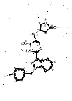 CC(C)(C)[C@H](NC(=O)c1nn(Cc2ccc(F)cc2)c2ccccc12)C(=O)N[C@@H]1CNC(=O)C1